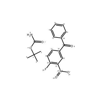 CC(C)(C)OC(N)=O.O=C(c1ccccc1)c1ccc(F)c([N+](=O)[O-])c1